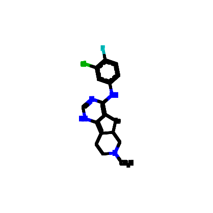 O=C(O)N1CCC2=C3NC=NC(Nc4ccc(F)c(Cl)c4)=C3[Se]C2C1